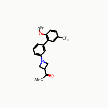 CCCOc1ccc(C(F)(F)F)cc1-c1cccc(N2CC(C(=O)OC)C2)c1